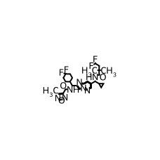 Cc1nonc1C(=O)N[C@H](c1cn2ncc([C@H](NC(=O)C(C)(C)CC(F)F)C3CC3)cc2n1)C1CCC(F)(F)CC1